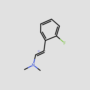 CN(C)/C=[C]/c1ccccc1F